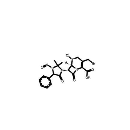 CC1(C)N(N=O)C(c2ccccc2)C(=O)N1[C@@H]1C(=O)N2C(C(=O)O)=C(CBr)C[S+]([O-])[C@H]12